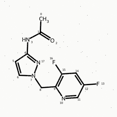 CC(=O)Nc1ccn(Cc2ncc(F)cc2F)n1